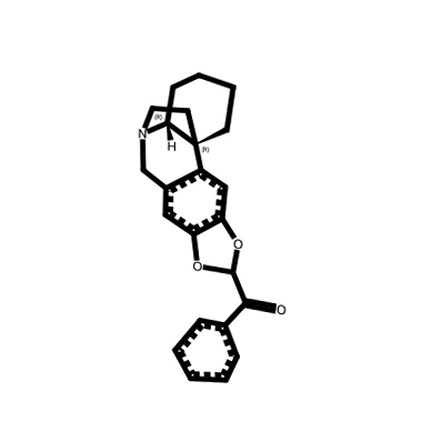 O=C(c1ccccc1)C1Oc2cc3c(cc2O1)[C@]12CCCC[C@H]1N(CC2)C3